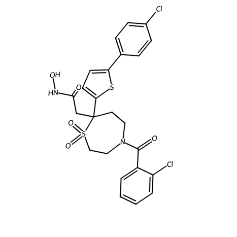 O=C(CC1(c2ccc(-c3ccc(Cl)cc3)s2)CCN(C(=O)c2ccccc2Cl)CCS1(=O)=O)NO